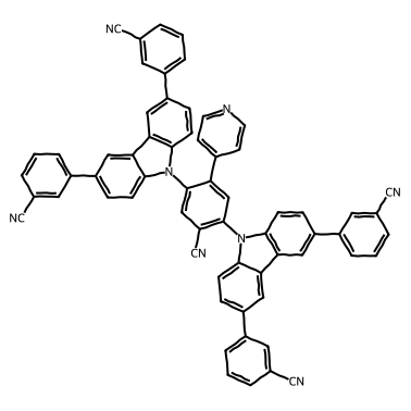 N#Cc1cccc(-c2ccc3c(c2)c2cc(-c4cccc(C#N)c4)ccc2n3-c2cc(-c3ccncc3)c(-n3c4ccc(-c5cccc(C#N)c5)cc4c4cc(-c5cccc(C#N)c5)ccc43)cc2C#N)c1